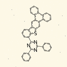 c1ccc(-c2nc(-c3ccccc3)nc(-c3cccc4c3sc3cc5c6ccccc6c6ccccc6c5cc34)n2)cc1